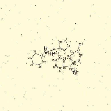 FC1=CCC=C1.Fc1ccc2c(c1)-c1ccccc1C2.[Cl-].[Cl-].[Hf+2][SiH2]C1CCCCC1